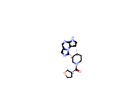 C[C@@H]1CCN(C(=O)[C@H]2CCOC2)C[C@@H]1c1ncc2cnc3[nH]ccc3n12